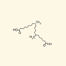 CC(CCCCCCCC(=O)O)CCCCC(C)CCCCCC(=O)O